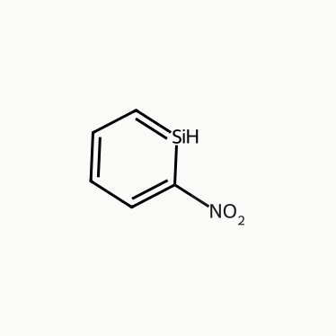 O=[N+]([O-])c1cccc[siH]1